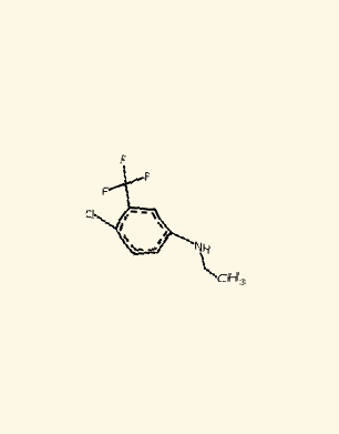 CCNc1ccc(Cl)c(C(F)(F)F)c1